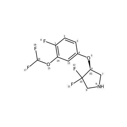 Fc1ccc(O[C@H]2CNCC2(F)F)cc1OC(F)F